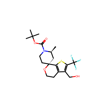 C[C@H]1C[C@@]2(CCN1C(=O)OC(C)(C)C)OCCc1c2sc(C(F)(F)F)c1CO